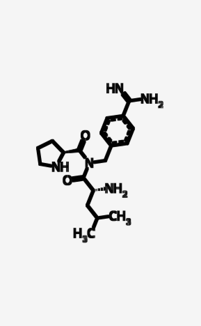 CC(C)C[C@@H](N)C(=O)N(Cc1ccc(C(=N)N)cc1)C(=O)[C@@H]1CCCN1